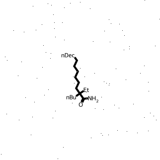 CCCCCCCCCCCCCCCCC(CC)(CCCC)C(N)=O